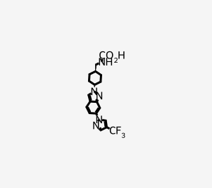 O=C(O)NC[C@H]1CC[C@H](n2cc3ccc(-n4cc(C(F)(F)F)cn4)cc3n2)CC1